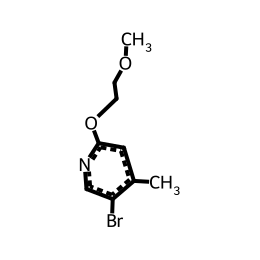 COCCOc1cc(C)c(Br)cn1